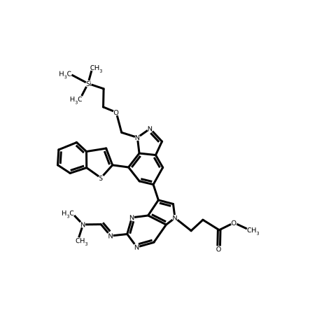 COC(=O)CCn1cc(-c2cc(-c3cc4ccccc4s3)c3c(cnn3COCC[Si](C)(C)C)c2)c2nc(N=CN(C)C)ncc21